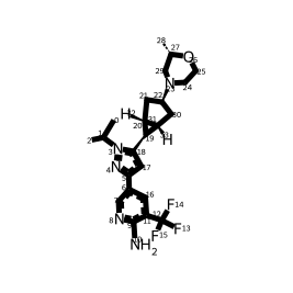 CC(C)n1nc(-c2cnc(N)c(C(F)(F)F)c2)cc1[C@H]1[C@@H]2C[C@@H](N3CCO[C@@H](C)C3)C[C@@H]21